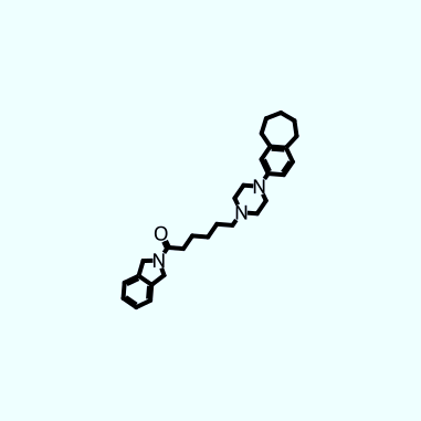 O=C(CCCCCN1CCN(c2ccc3c(c2)CCCCC3)CC1)N1Cc2ccccc2C1